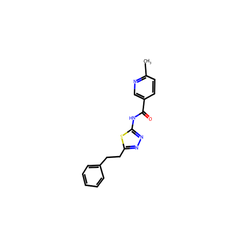 Cc1ccc(C(=O)Nc2nnc(CCc3ccccc3)s2)cn1